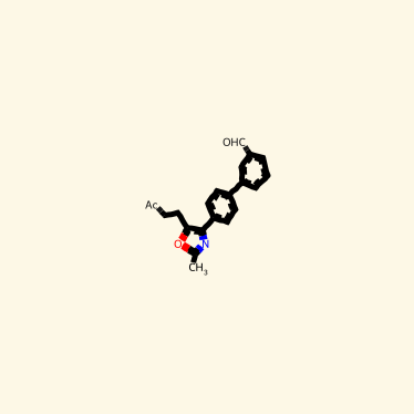 CC(=O)CCc1oc(C)nc1-c1ccc(-c2cccc(C=O)c2)cc1